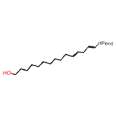 CCCCC/C=C/C/C=C/CCCCCCCCCCO